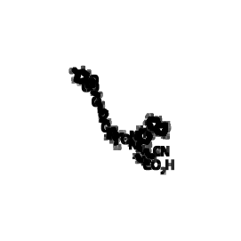 Cc1ccc(S(=O)(=O)OCCOCCOCCO[C@@H]2C[C@@H](COc3nc4c(c(N5CCN(C(=O)O)C(CC#N)C5)n3)CCN(c3cccc5ccccc35)C4)N(C)C2)cc1